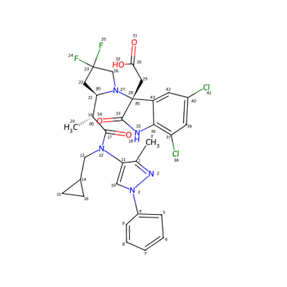 Cc1nn(-c2ccccc2)cc1N(CC1CC1)C(=O)[C@H](C)[C@H]1CC(F)(F)CN1[C@@]1(CC(=O)O)C(=O)Nc2c(Cl)cc(Cl)cc21